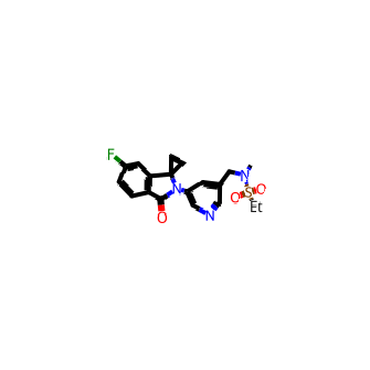 CCS(=O)(=O)N(C)Cc1cncc(N2C(=O)c3ccc(F)cc3C23CC3)c1